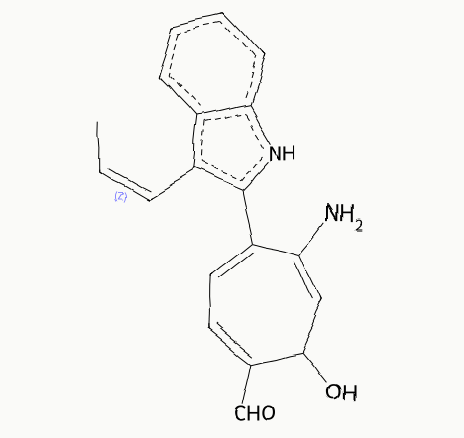 C/C=C\c1c(C2=CC=C(C=O)C(O)C=C2N)[nH]c2ccccc12